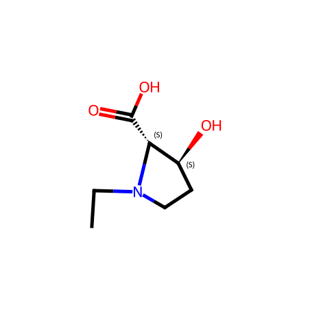 CCN1CC[C@H](O)[C@H]1C(=O)O